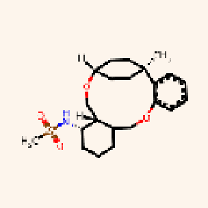 CS(=O)(=O)N[C@H]1CCCC2COc3ccccc3[C@]3(C)CC[C@H](CC3)OC[C@H]21